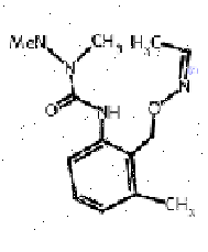 C/C=N\OCc1c(C)cccc1NC(=O)N(C)NC